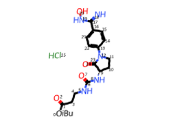 CC(C)COC(=O)CCNC(=O)N[C@H]1CCN(c2ccc(C(=N)NO)cc2)C1=O.Cl